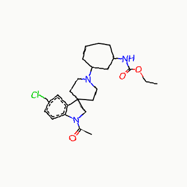 CCOC(=O)NC1CCCCC(N2CCC3(CC2)CN(C(C)=O)c2ccc(Cl)cc23)C1